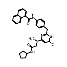 CN(CC(=O)NC1CCCC1)C1=[C]C(Cl)NC(Cc2ccc(NC(=O)c3cccc4ccccc34)cc2)=N1